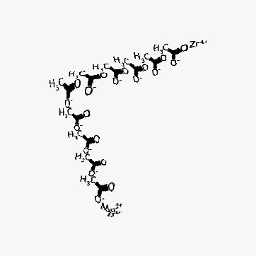 CC(=O)[O-].CC(=O)[O-].CC(=O)[O-].CC(=O)[O-].CC(=O)[O-].CC(=O)[O-].CC(=O)[O-].CC(=O)[O-].CC(=O)[O-].CC(=O)[O-].[Mg+2].[Zr+4].[Zr+4]